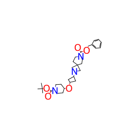 CC(C)(C)OC(=O)N1CCC(OC2CC(N3CC4(CCN(C(=O)OCc5ccccc5)CC4)C3)C2)CC1